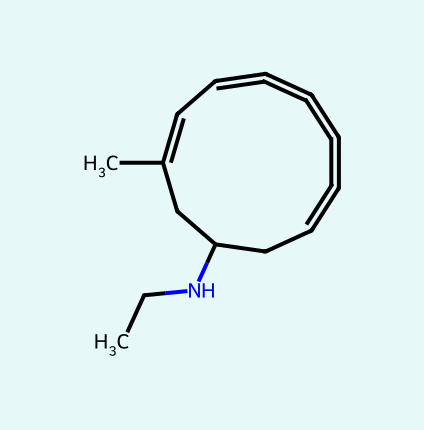 CCNC1CC=C=C=C=C=C/C=C(/C)C1